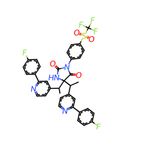 CC(c1ccnc(-c2ccc(F)cc2)c1)C1(C(C)c2ccnc(-c3ccc(F)cc3)c2)NC(=O)N(c2ccc(S(=O)(=O)C(F)(F)F)cc2)C1=O